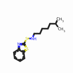 CC(C)CCCCCNSc1nc2ccccc2s1